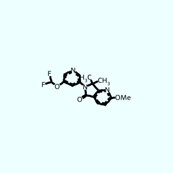 COc1ccc2c(n1)C(C)(C)N(c1cncc(OC(F)F)c1)C2=O